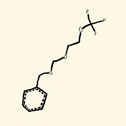 FC(F)(F)OCCOCOCc1ccccc1